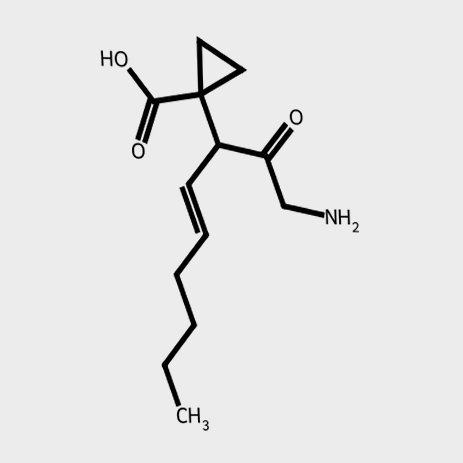 CCCCC=CC(C(=O)CN)C1(C(=O)O)CC1